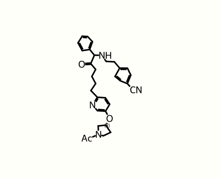 CC(=O)N1CC[C@@H](Oc2ccc(CCCCC(=O)C(NCCc3ccc(C#N)cc3)c3ccccc3)nc2)C1